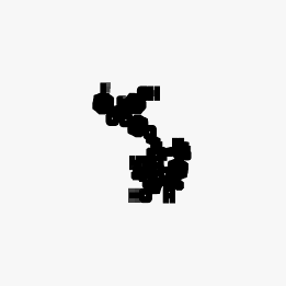 CCN(CCOc1ccc(Oc2c(C(=O)c3cccc(F)c3)sc3cc(O)ccc23)cc1)CC(=O)N[C@H](C(=O)N1CC(O)CC1C(=O)NC(C)c1ccc(-c2scnc2C)cc1)C(C)(C)C